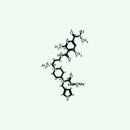 CCN(C)C(=O)c1cc(C)c(C(=O)NCC[C@@H](C)N2CCC(N(Cc3ccsc3)C(=O)NOC)CC2)c(C)n1